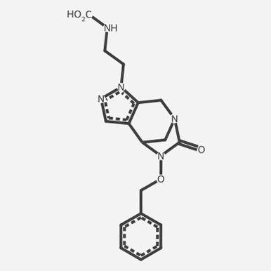 O=C(O)NCCn1ncc2c1CN1CC2N(OCc2ccccc2)C1=O